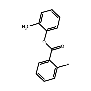 Cc1ccccc1OC(=O)c1ccccc1F